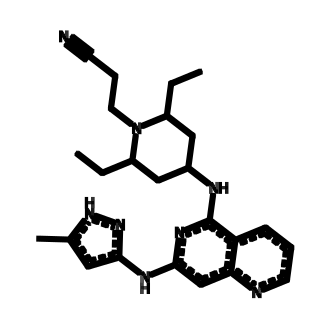 CCC1CC(Nc2nc(Nc3cc(C)[nH]n3)cc3ncccc23)CC(CC)N1CCC#N